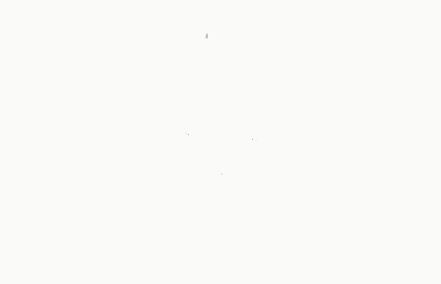 NCCCCC(NI)c1nc(-c2ccccc2)c[nH]1